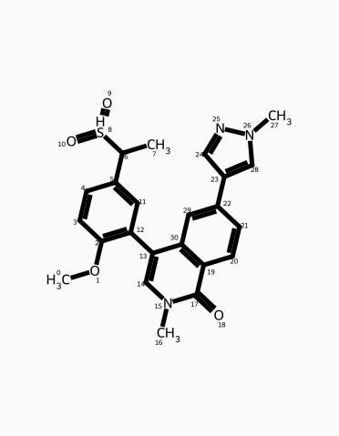 COc1ccc(C(C)[SH](=O)=O)cc1-c1cn(C)c(=O)c2ccc(-c3cnn(C)c3)cc12